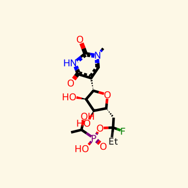 CCC(F)(C[C@H]1O[C@@H](c2cn(C)c(=O)[nH]c2=O)[C@H](O)[C@@H]1O)OP(=O)(O)C(C)O